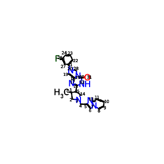 CC1CN(Cc2cn3ccccc3n2)CC1C1=NC2=CN(c3cccc(F)c3)CN2C(=O)N1